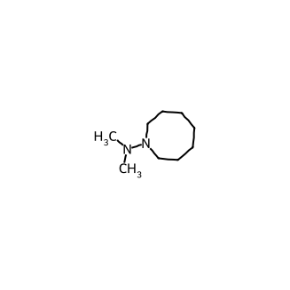 CN(C)N1CCCCCCC1